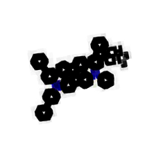 CC1(C)c2ccccc2-c2ccc(N(c3ccccc3)c3ccc4c(c3)C3(c5ccccc5-c5ccccc53)c3cc(N(c5ccc(-c6ccccc6)cc5)c5ccc(-c6ccccc6)cc5)ccc3-4)cc21